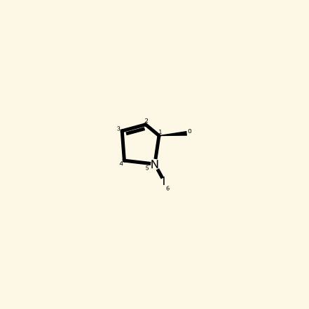 C[C@@H]1C=CCN1I